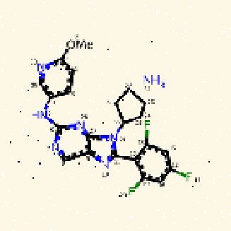 COc1ccc(Nc2ncc3nc(-c4c(F)cc(F)cc4F)n(C4CCCC4)c3n2)cn1.N